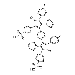 Cc1ccc(C2=C(c3ccccc3)C(c3ccc(C4=C(c5ccc(C)cc5)C(=O)C(c5ccc(S(=O)(=O)O)cc5)=C4c4ccccc4)cc3)=C(c3ccc(S(=O)(=O)O)cc3)C2=O)cc1